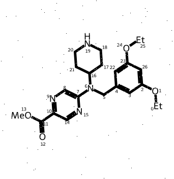 CCOc1cc(CN(c2cnc(C(=O)OC)cn2)C2CCNCC2)cc(OCC)c1